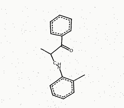 Cc1ccccc1NCC(C)C(=O)c1ccccc1